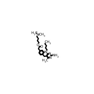 CCCCCNc1nc(N)nc(C)c1Cc1ccc(CC(=O)OCCCCN(C)C)cc1